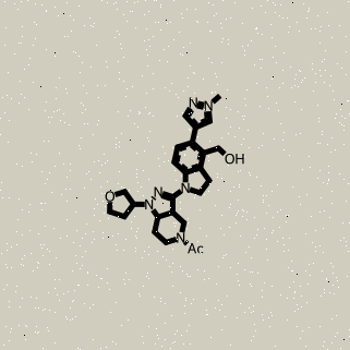 CC(=O)N1CCC2C(C1)C(N1CCc3c1ccc(-c1cnn(C)c1)c3CO)=NN2C1CCOC1